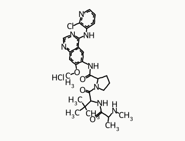 CNC(C)C(=O)NC(C(=O)N1CCCC1C(=O)Nc1cc2c(Nc3cccnc3Cl)ncnc2cc1OC)C(C)(C)C.Cl